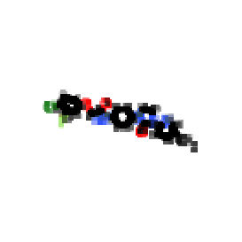 O=C(COc1ccc(Cl)c(F)c1)NC1CCC(N2CCN(c3ccc(C(F)(F)F)cn3)C2=O)CC1